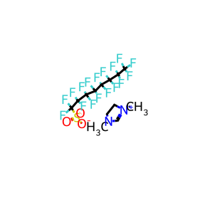 CN1C=[N+](C)CC1.O=S(=O)([O-])C(F)(F)C(F)(F)C(F)(F)C(F)(F)C(F)(F)C(F)(F)C(F)(F)C(F)(F)F